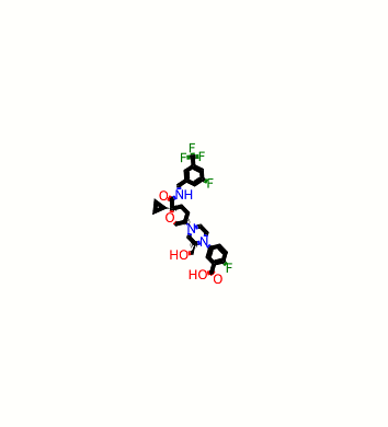 O=C(O)c1cc(N2CCN([C@@H]3CC[C@@](C(=O)NCc4cc(F)cc(C(F)(F)F)c4)(C4CC4)OC3)C[C@@H]2CO)ccc1F